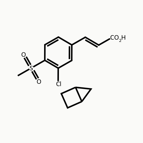 C1CC2CC12.CS(=O)(=O)c1ccc(C=CC(=O)O)cc1Cl